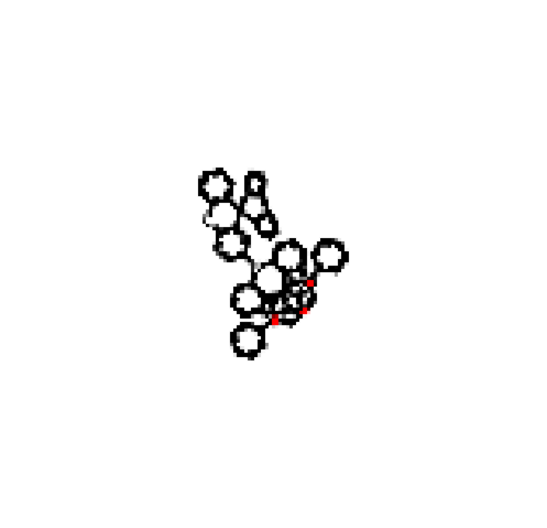 c1ccc(-c2ccc3oc4cccc(N(c5ccc6c(c5)C5(c7ccccc7O6)c6ccccc6-c6ccccc65)c5cccc6oc7ccc(-c8ccccc8)cc7c56)c4c3c2)cc1